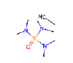 CC#N.CN(C)P(=O)(N(C)C)N(C)C